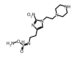 NO[SH](=O)=NCCc1cn(CCN2CCNCC2)c([N+](=O)[O-])n1